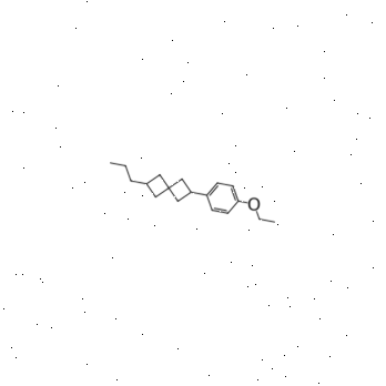 CCCC1CC2(C1)CC(c1ccc(OCC)cc1)C2